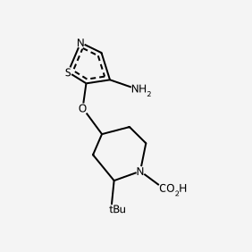 CC(C)(C)C1CC(Oc2sncc2N)CCN1C(=O)O